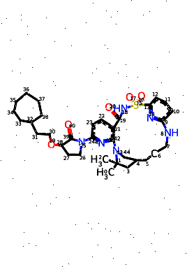 CC1(C)CC2CCCNc3cccc(n3)S(=O)(=O)NC(=O)c3ccc(N4CCC(OCCC5CCCCCC5)C4=O)nc3N1C2